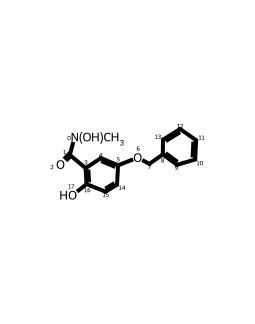 CN(O)C(=O)c1cc(OCc2ccccc2)ccc1O